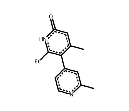 CCc1[nH]c(=O)cc(C)c1-c1ccnc(C)c1